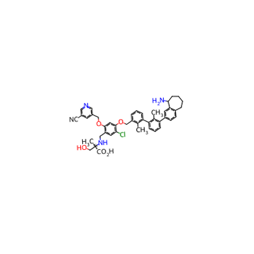 Cc1c(COc2cc(OCc3cncc(C#N)c3)c(CN[C@@](C)(CO)C(=O)O)cc2Cl)cccc1-c1cccc(-c2ccc3c(c2)C(N)CCCC3)c1C